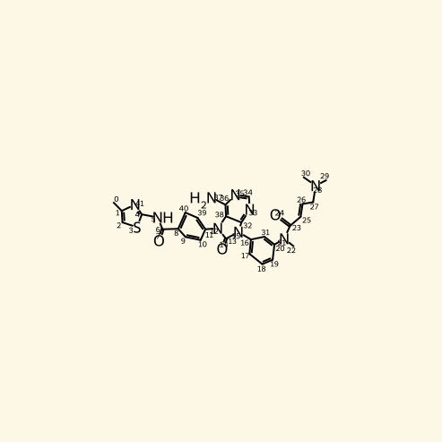 Cc1csc(NC(=O)c2ccc(-n3c(=O)n(-c4cccc(N(C)C(=O)/C=C/CN(C)C)c4)c4ncnc(N)c43)cc2)n1